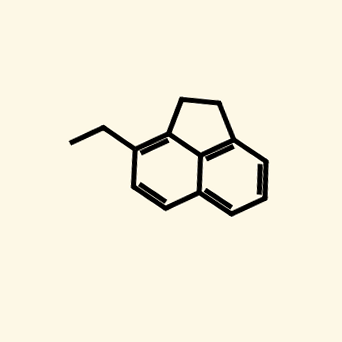 CCc1ccc2cccc3c2c1CC3